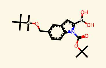 CC(C)(C)OC(=O)n1c(B(O)O)cc2cc(CO[Si](C)(C)C(C)(C)C)ccc21